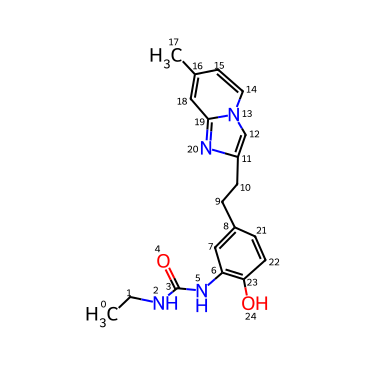 CCNC(=O)Nc1cc(CCc2cn3ccc(C)cc3n2)ccc1O